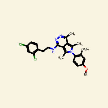 CCOc1ccc(-n2c(C)c3c(C)nnc(NCCc4ccc(Cl)cc4Cl)c3c2C)c(OC)c1